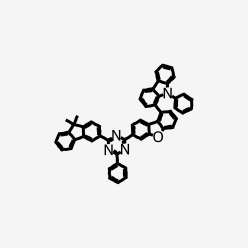 CC1(C)c2ccccc2-c2cc(-c3nc(-c4ccccc4)nc(-c4ccc5c(c4)oc4cccc(-c6cccc7c8ccccc8n(-c8ccccc8)c67)c45)n3)ccc21